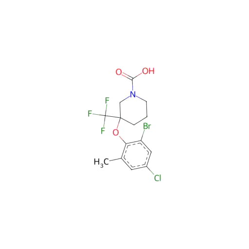 Cc1cc(Cl)cc(Br)c1OC1(C(F)(F)F)CCCN(C(=O)O)C1